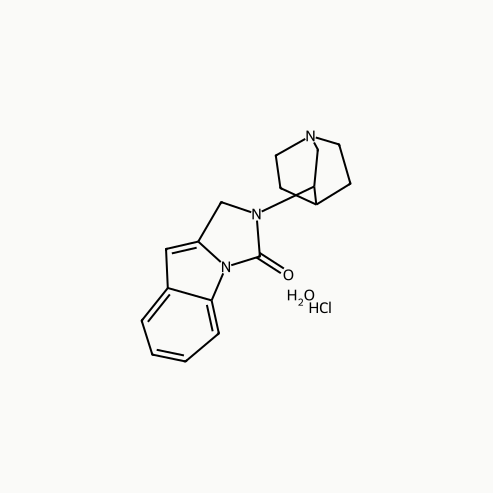 Cl.O.O=C1N(C2CN3CCC2CC3)Cc2cc3ccccc3n21